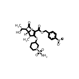 C[C@@H](O)[C@H]1C(=O)N2C(C(=O)OCc3ccc([N+](=O)[O-])cc3)=C(SC3CCCN(S(N)(=O)=O)C3)[C@H](C)[C@H]12